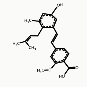 COc1cc(/C=C/c2cc(O)cc(C)c2CC=C(C)C)ccc1C(=O)O